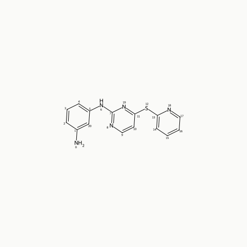 Nc1cccc(Nc2nccc(Sc3ccccn3)n2)c1